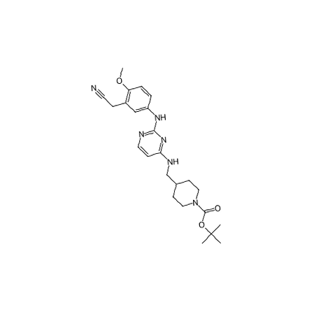 COc1ccc(Nc2nccc(NCC3CCN(C(=O)OC(C)(C)C)CC3)n2)cc1CC#N